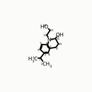 CC(C)c1ccc2c(c1)[CH]CC(O)N2CCO